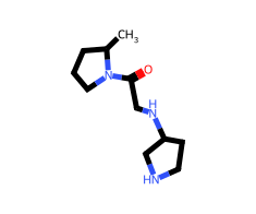 CC1CCCN1C(=O)CNC1CCNC1